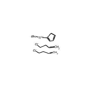 C=CCC[O-].C=CCC[O-].C[C](C)(C)[Ti+2][C]1=CC=CC1